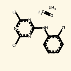 C=O.Clc1nc(Cl)nc(Nc2ccccc2Cl)n1.N